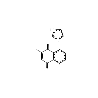 CC(C)(C)C1=CC(=O)c2ccccc2C1=O.c1c[nH]cn1